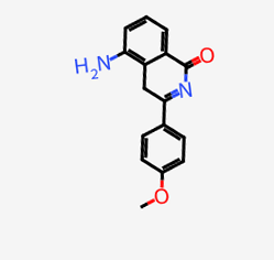 COc1ccc(C2=NC(=O)c3cccc(N)c3C2)cc1